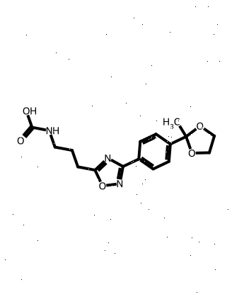 CC1(c2ccc(-c3noc(CCCNC(=O)O)n3)cc2)OCCO1